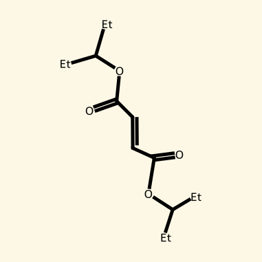 CCC(CC)OC(=O)/C=C/C(=O)OC(CC)CC